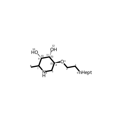 CCCCCCCCCO[C@H]1CNC(C)[C@H](O)[C@@H]1O